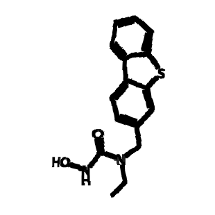 CCN(Cc1ccc2c(c1)sc1ccccc12)C(=O)NO